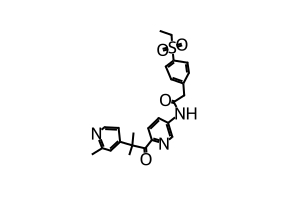 CCS(=O)(=O)c1ccc(CC(=O)Nc2ccc(C(=O)C(C)(C)c3ccnc(C)c3)nc2)cc1